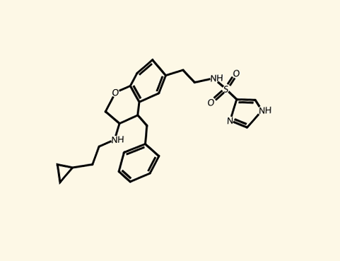 O=S(=O)(NCCc1ccc2c(c1)C(Cc1ccccc1)C(NCCC1CC1)CO2)c1c[nH]cn1